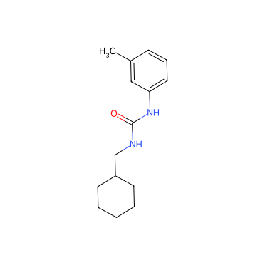 Cc1cccc(NC(=O)NCC2CCCCC2)c1